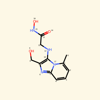 Cc1cccc2nc(CO)c(NCC(=O)NO)n12